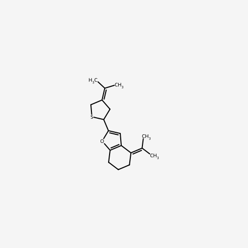 CC(C)=C1CSC(c2cc3c(o2)CCCC3=C(C)C)C1